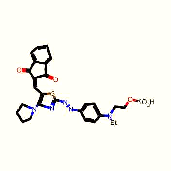 CCN(CCOS(=O)(=O)O)c1ccc(N=Nc2nc(N3CCCC3)c(C=C3C(=O)c4ccccc4C3=O)s2)cc1